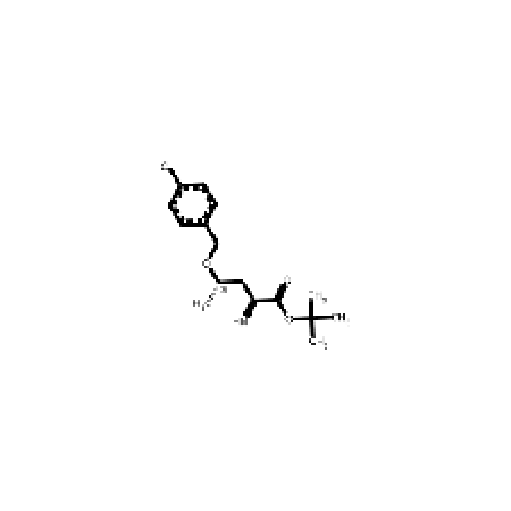 C[C@@H](CC(=N)C(=O)OC(C)(C)C)OCc1ccc(Cl)cc1